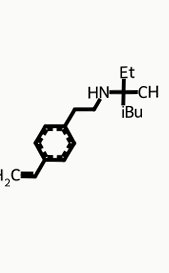 C=Cc1ccc(CCNC(C)(CC)C(C)CC)cc1